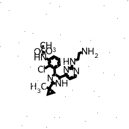 CC1(C2=NC(c3cccc(NS(C)(=O)=O)c3Cl)C(c3ccnc(NCCN)n3)N2)CC1